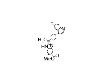 COC(=O)c1ccc2[nH]c([C@@H](C)[C@H]3CC[C@@H](c4ccnc5ccc(F)cc54)CC3)nc2c1